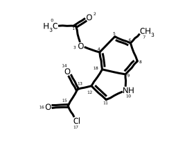 CC(=O)Oc1cc(C)cc2[nH]cc(C(=O)C(=O)Cl)c12